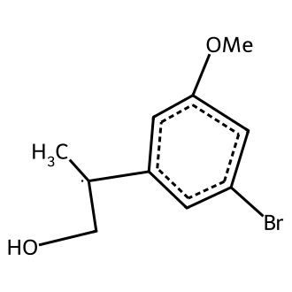 COc1cc(Br)cc([C](C)CO)c1